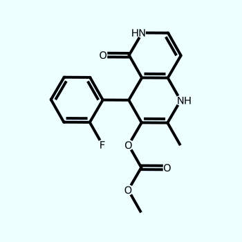 COC(=O)OC1=C(C)Nc2cc[nH]c(=O)c2C1c1ccccc1F